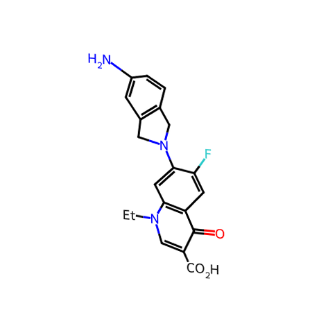 CCn1cc(C(=O)O)c(=O)c2cc(F)c(N3Cc4ccc(N)cc4C3)cc21